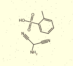 Cc1ccccc1S(=O)(=O)O.N#CC(N)C#N